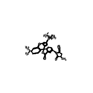 CC1CC(=O)N(c2ccc3c(c2)C(=O)OC32c3ccc(N(C)C)cc3OC3=CC(=[N+](C)C)C=CC32)C1=O